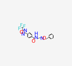 O=C(NCC=NOCc1ccccc1)c1ccc(-c2noc(C(F)(F)F)n2)cc1